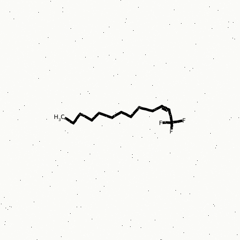 CCCCCCCCCC/C=C\C(F)(F)F